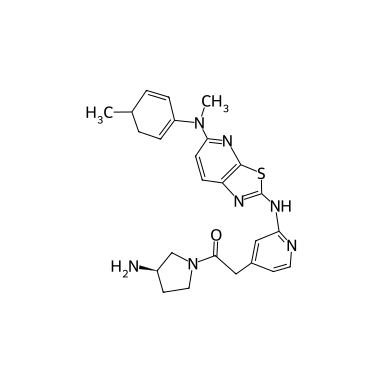 CC1C=CC(N(C)c2ccc3nc(Nc4cc(CC(=O)N5CC[C@@H](N)C5)ccn4)sc3n2)=CC1